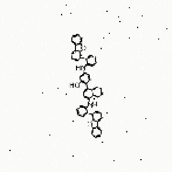 Oc1cc(Nc2ccccc2-c2cccc3c2oc2ccccc23)ccc1-c1ccc(Nc2ccccc2-c2cccc3c2oc2ccccc23)c2ccccc12